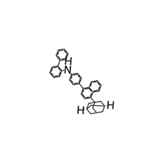 c1ccc(-c2ccccc2Nc2ccc(-c3ccc(C45CC6C[C@H](C4)C[C@@H](C6)C5)c4ccccc34)cc2)cc1